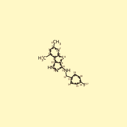 Cc1cc(C)c2c(n1)sc1c(NCc3ccc(F)cc3)n[nH]c12